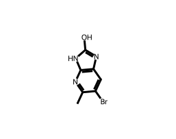 Cc1nc2[nH]c(O)nc2cc1Br